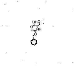 O=C[C@H](NC(=O)OCc1ccccc1)C(=O)O